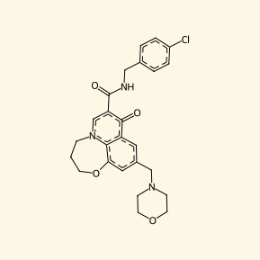 O=C(NCc1ccc(Cl)cc1)c1cn2c3c(cc(CN4CCOCC4)cc3c1=O)OCCC2